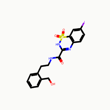 O=C(NCCc1ccccc1CO)C1=Nc2ccc(I)cc2S(=O)(=O)N1